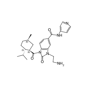 CC(C)[C@@H]1CC[C@@H](C)C[C@H]1C(=O)n1c(=O)n(CCN)c2cc(C(=O)Nc3ccncc3)ccc21